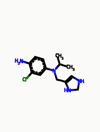 CC(C)N(CC1=CNCN1)c1ccc(N)c(Cl)c1